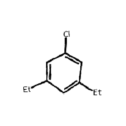 CCc1[c]c(CC)cc(Cl)c1